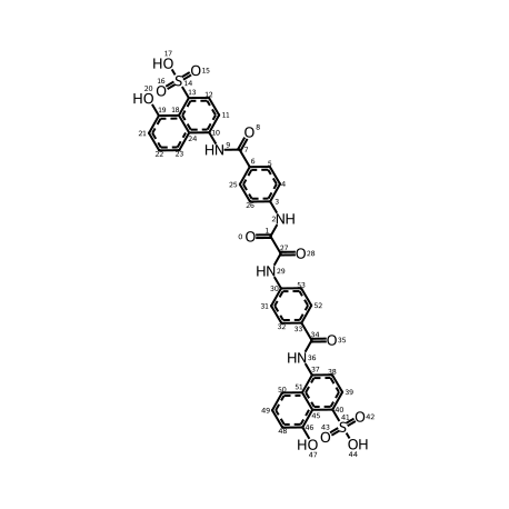 O=C(Nc1ccc(C(=O)Nc2ccc(S(=O)(=O)O)c3c(O)cccc23)cc1)C(=O)Nc1ccc(C(=O)Nc2ccc(S(=O)(=O)O)c3c(O)cccc23)cc1